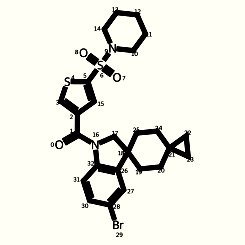 O=C(c1csc(S(=O)(=O)N2CCCCC2)c1)N1CC2(CCC3(CC3)CC2)c2cc(Br)ccc21